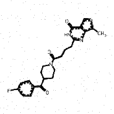 Cc1scc2c(=O)[nH]c(CCCC(=O)N3CCC(C(=O)c4ccc(F)cc4)CC3)nc12